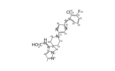 O=C(O)N[C@@H]1c2ccnn2CC12CCN(c1cnc(Sc3cccc(F)c3Cl)cn1)CC2